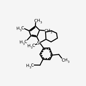 CCc1cc(CC)cc([Si](C)(C2=C(C)C(C)=C(C)C2C)C2CCCCC2)c1